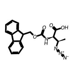 C[C@@H](N=[N+]=[N-])[C@@H](NC(=O)OCC1c2ccccc2-c2ccccc21)C(=O)O